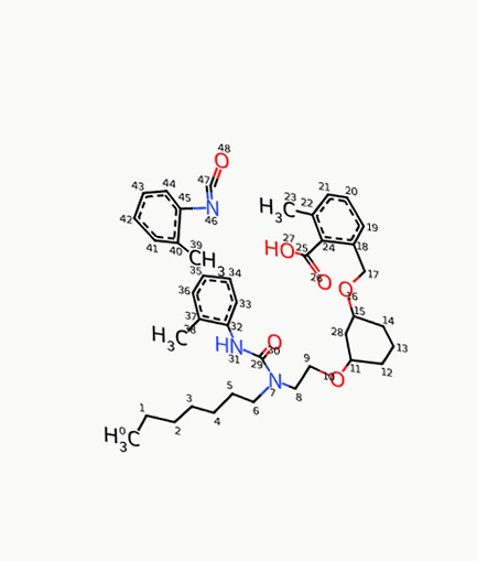 CCCCCCCN(CCOC1CCCC(OCc2cccc(C)c2C(=O)O)C1)C(=O)Nc1ccccc1C.Cc1ccccc1N=C=O